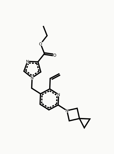 C=Cc1nc(N2CC3(CC3)C2)ccc1Cn1cnc(C(=O)OCC)c1